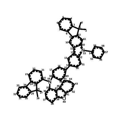 CC1(C)c2ccccc2-c2cc3c4cc(-c5ccc(N(c6cccc7c6C(C)(C)c6ccccc6-7)c6cccc7oc8ccccc8c67)cc5)ccc4n(-c4ccccc4)c3cc21